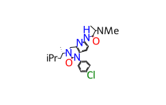 CNC(C)C(=O)Nc1ccc2c(n1)CN([C@@H](C)CC(C)C)C(=O)N2c1ccc(Cl)cc1